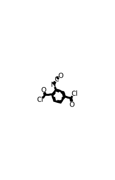 O=C=Nc1cc(C(=O)Cl)ccc1C(=O)Cl